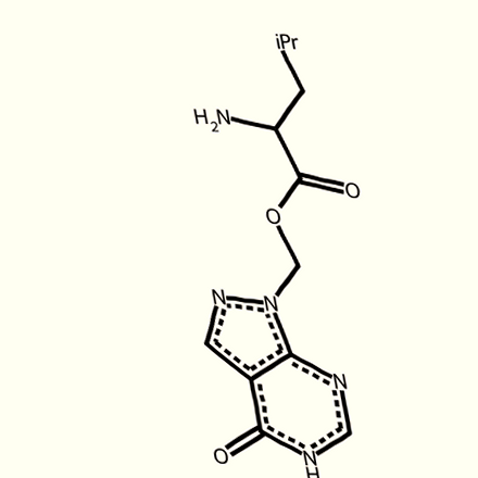 CC(C)CC(N)C(=O)OCn1ncc2c(=O)[nH]cnc21